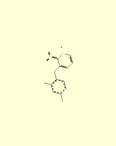 Cc1ccc(CC2=CC=C[NH+]([O-])C2=S(=O)=O)c(C)c1